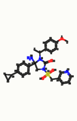 COc1ccc(C(C)N2C(=O)N(S(=O)(=O)Cc3cccnc3)CC2(N)c2ccc(C3CC3)cc2)cc1